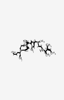 C=C/C(=C\C=C/C)N1CCN(C(=O)c2cc(CN(C)CCPC(=C)/C(C)=C\C)cn2C)CC1